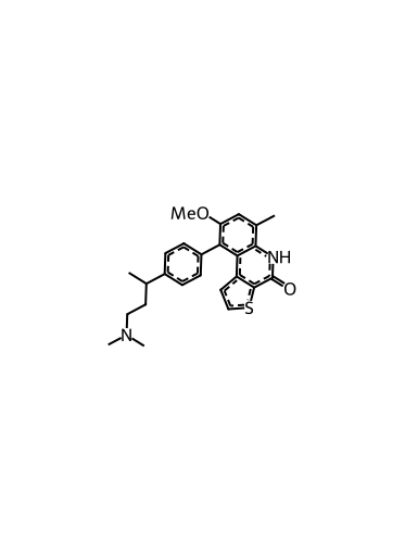 COc1cc(C)c2[nH]c(=O)c3sccc3c2c1-c1ccc(C(C)CCN(C)C)cc1